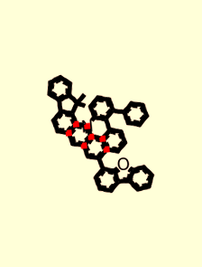 CC1(C)c2ccccc2-c2cccc(N(c3ccc(-c4cccc5c4oc4ccccc45)cc3)c3cccc(-c4ccccc4)c3-c3ccccc3-c3ccccc3)c21